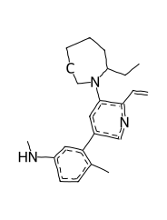 C=Cc1ncc(-c2cc(NC)ccc2C)cc1N1CCCCCC1CC